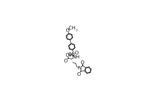 COc1ccc(-c2ccc(S(=O)(=O)N[C@H](CCCN3C(=O)c4ccccc4C3=O)C(=O)O)cc2)cc1